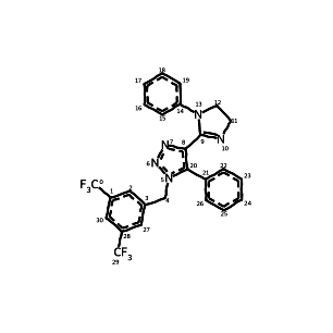 FC(F)(F)c1cc(Cn2nnc(C3=NCCN3c3ccccc3)c2-c2ccccc2)cc(C(F)(F)F)c1